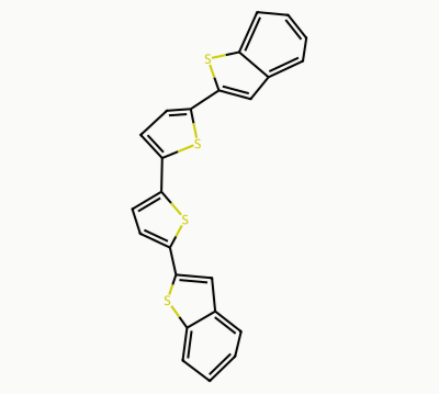 c1ccc2sc(-c3ccc(-c4ccc(-c5cc6ccccc6s5)s4)s3)cc2c1